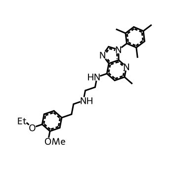 CCOc1ccc(CCNCCNc2cc(C)nc3c2ncn3-c2c(C)cc(C)cc2C)cc1OC